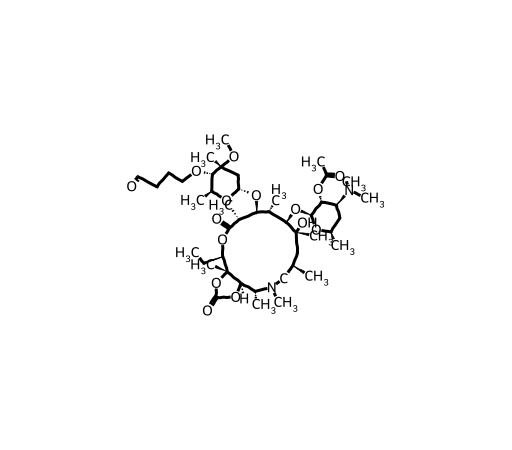 CC[C@H]1OC(=O)[C@H](C)[C@@H](O[C@H]2C[C@@](C)(OC)[C@@H](OCCCC=O)[C@H](C)O2)[C@H](C)[C@@H](O[C@@H]2O[C@H](C)C[C@H](N(C)C)[C@H]2OC(C)=O)[C@](C)(O)C[C@@H](C)CN(C)[C@H](C)[C@H]2OC(=O)O[C@@]21C